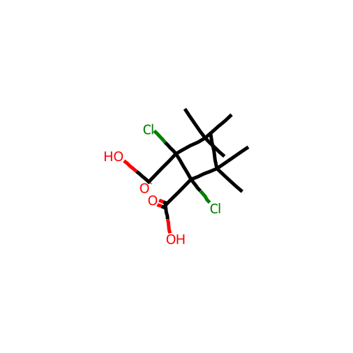 CC(C)(C)C(Cl)(C(=O)O)C(Cl)(C(=O)O)C(C)(C)C